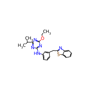 CCOc1nc(Nc2cccc(Cc3nc4ccccc4s3)c2)nc(C(C)C)n1